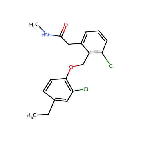 CCc1ccc(OCc2c(Cl)cccc2CC(=O)NC)c(Cl)c1